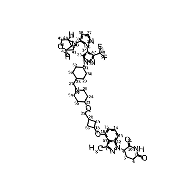 Cc1nn([C@H]2CCC(=O)NC2=O)c2cccc(OC3CC(COC4CCN(CC5CCC(n6cc(-n7nccc7N7C[C@H]8C[C@@H]7CO8)c(C(F)F)n6)CC5)CC4)C3)c12